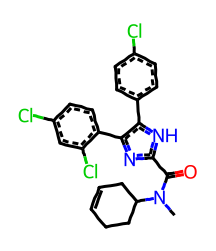 CN(C(=O)c1nc(-c2ccc(Cl)cc2Cl)c(-c2ccc(Cl)cc2)[nH]1)C1CC=CCC1